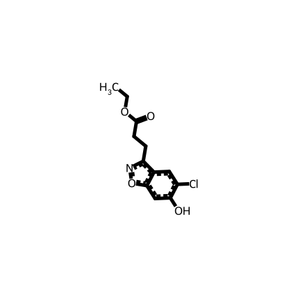 CCOC(=O)CCc1noc2cc(O)c(Cl)cc12